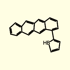 B1C=CC=C1c1cccc2cc3cc4ccccc4cc3cc12